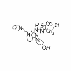 CCOC(=O)c1sc(Nc2nc3c(c(N4CCC(O)CC4)n2)CCCCN3CCCN2CCOCC2)nc1C